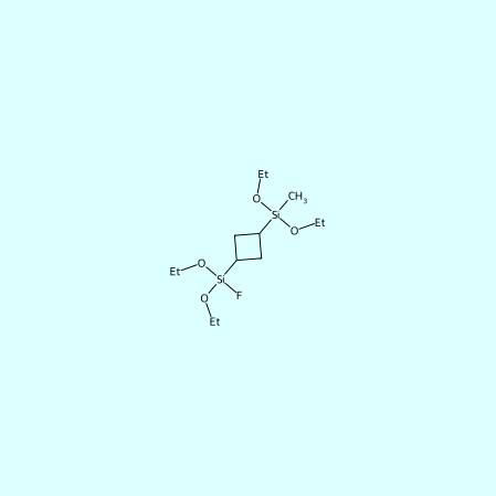 CCO[Si](C)(OCC)C1CC([Si](F)(OCC)OCC)C1